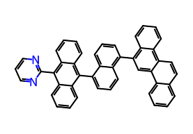 c1cnc(-c2c3ccccc3c(-c3cccc4c(-c5cc6c7ccccc7ccc6c6ccccc56)cccc34)c3ccccc23)nc1